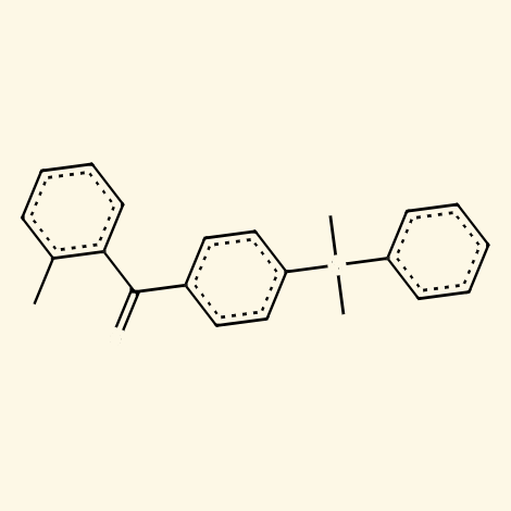 Cc1ccccc1C(=O)c1ccc([Si](C)(C)c2ccccc2)cc1